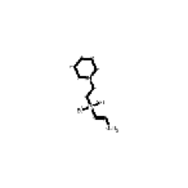 CC=C[Si](CC)(CC)CCN1CCCCC1